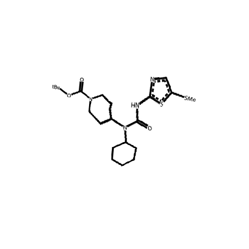 CSc1cnc(NC(=O)N(C2CCCCC2)C2CCN(C(=O)OC(C)(C)C)CC2)s1